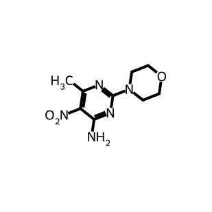 Cc1nc(N2CCOCC2)nc(N)c1[N+](=O)[O-]